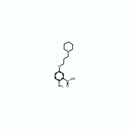 Nc1ccc(OCCCN2CCCCC2)cc1[N+](=O)O